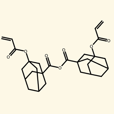 C=CC(=O)OC12CC3CC(C1)CC(C(=O)OC(=O)C14CC5CC(CC(OC(=O)C=C)(C5)C1)C4)(C3)C2